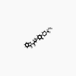 CC(C)(C)OC(=O)N1CCN(c2ccc(-n3cc(C(=O)N4Cc5ccccc5C4=O)nn3)cc2F)CC1